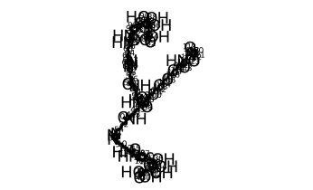 O=C(CCCCn1cc(CCCCNC(=O)Nc2ccc(S[C@@H]3O[C@H](CCP(=O)(O)O)[C@@H](O)[C@H](O)[C@@H]3O)cc2)nn1)NCCCC[C@H](NC(=O)CCCNC(=O)CCCCn1cc(CCCCNC(=O)Nc2ccc(S[C@@H]3O[C@H](CCP(=O)(O)O)[C@@H](O)[C@H](O)[C@@H]3O)cc2)nn1)C(=O)NCCOCCOCCOCCOCCC(=O)NCCN1C(=O)C=CC1=O